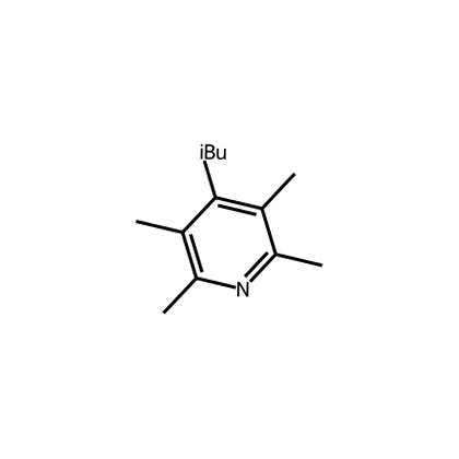 CCC(C)c1c(C)c(C)nc(C)c1C